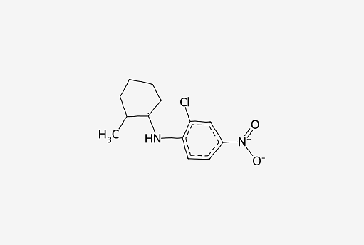 CC1CCCC[C]1Nc1ccc([N+](=O)[O-])cc1Cl